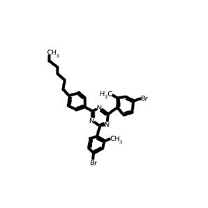 CCCCCCc1ccc(-c2nc(-c3ccc(Br)cc3C)nc(-c3ccc(Br)cc3C)n2)cc1